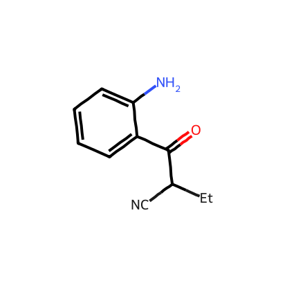 CCC(C#N)C(=O)c1ccccc1N